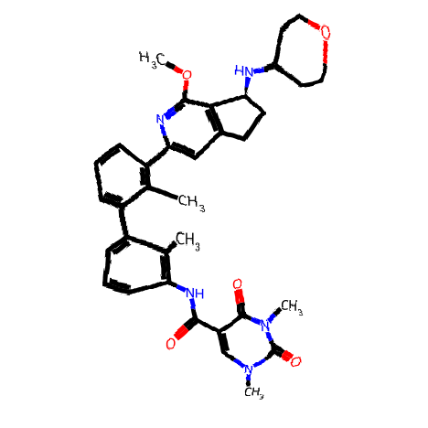 COc1nc(-c2cccc(-c3cccc(NC(=O)c4cn(C)c(=O)n(C)c4=O)c3C)c2C)cc2c1[C@@H](NC1CCOCC1)CC2